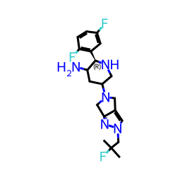 CC(C)(F)Cn1cc2c(n1)CN(C1CN[C@H](c3cc(F)ccc3F)C(N)C1)C2